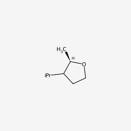 CC(C)C1CCO[C@@H]1C